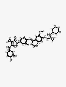 COc1cc2c(Oc3ccc(NC(=O)C4(C(=O)Nc5ccc(F)c(F)c5)CC4)cc3F)ccnc2cc1OCC1(NC2CCCCC2)CC1